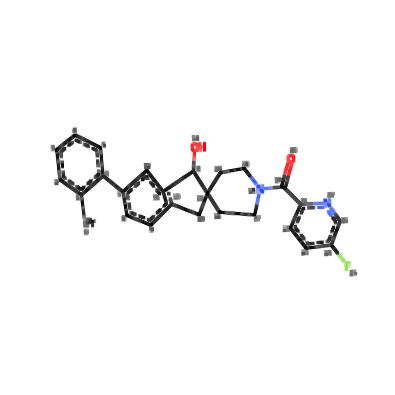 CC(C)c1ccccc1-c1ccc2c(c1)C(O)C1(CCN(C(=O)c3ccc(F)cn3)CC1)C2